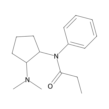 CCC(=O)N(c1ccccc1)C1CCCC1N(C)C